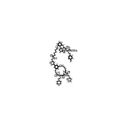 CNC(=O)[C@H](CCc1ccc(F)cc1)NC(=O)[C@H](Cc1cccc(OCCCCCC(=O)NC[C@H]2CC(c3cc4cc(c3)OCCCC[C@@H](C(=O)NC[C@@H]3CCCO3)NC(=O)[C@H](CCN3CCOCC3)NC(=O)CC4)CO2)c1)N1CCCC1=O